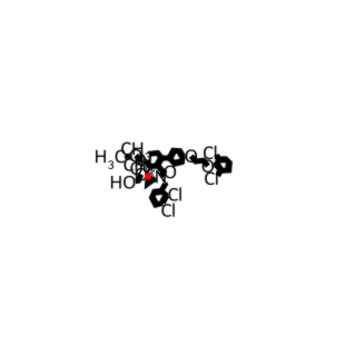 CC(C)(C)OC(=O)N1CCC(c2ccc(OCCOc3c(Cl)cccc3Cl)cc2)=C(C(=O)N(Cc2cccc(Cl)c2Cl)C2CC2)[C@H]1COCO